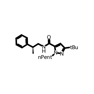 CCCCCn1nc(C(C)(C)C)cc1C(=O)NC[C@@H](C)c1ccccc1